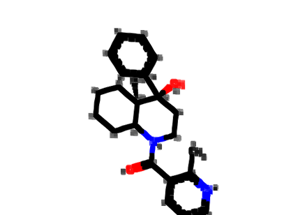 Cc1ncccc1C(=O)N1CC[C@@](O)(c2ccccc2)[C@@H]2CCCCC21